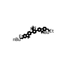 CCCCC(CC)Cc1ccc2c(c1)C(C)(C)c1cc(-c3ccc(-c4ccc5c(c4)C(C)(C)c4cc(CC(CC)CCCC)ccc4-5)c4nsnc34)ccc1-2